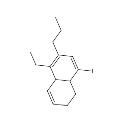 CCCC1=C(CC)C2C=CCCC2C(I)=C1